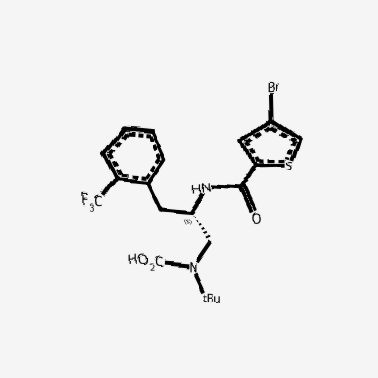 CC(C)(C)N(C[C@H](Cc1ccccc1C(F)(F)F)NC(=O)c1cc(Br)cs1)C(=O)O